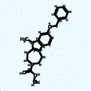 Cn1c2c(c3ccc(OCc4ccccc4)cc31)CCN(C(=O)OC(C)(C)C)CC2